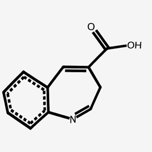 O=C(O)C1=Cc2ccccc2N=CC1